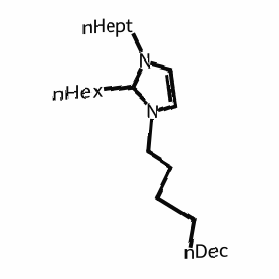 CCCCCCCCCCCCCCN1C=CN(CCCCCCC)C1CCCCCC